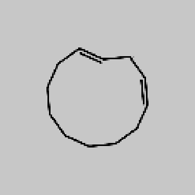 [CH]1/C=C\CCCCCCC/C=C/1